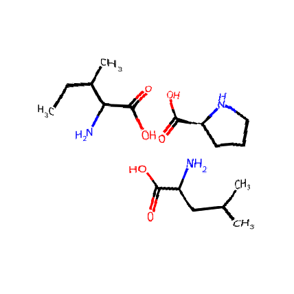 CC(C)CC(N)C(=O)O.CCC(C)C(N)C(=O)O.O=C(O)[C@@H]1CCCN1